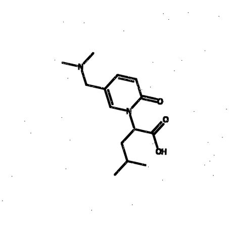 CC(C)CC(C(=O)O)n1cc(CN(C)C)ccc1=O